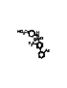 CC(=O)c1ccccc1-c1ccc(S(=O)(=O)NC2CCN(C(=O)O)CC2)c(C(F)(F)F)c1